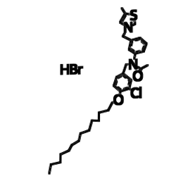 Br.CCCCCCCCCCCCCCOc1ccc(CN(C(C)=O)c2cccc(CN3C=C(C)SC3)c2)cc1Cl